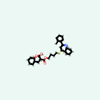 Cc1ccccc1-c1cc(SCCCCOC(=O)c2cc3ccccc3oc2=O)c2ccccc2n1